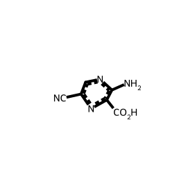 N#Cc1cnc(N)c(C(=O)O)n1